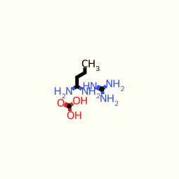 CCCC(N)N.N=C(N)N.O=C(O)O